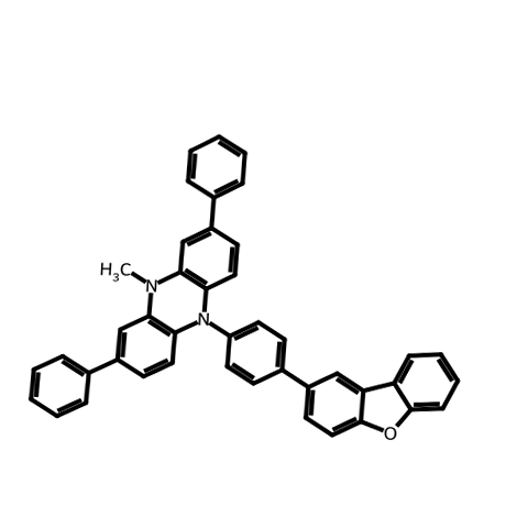 CN1c2cc(-c3ccccc3)ccc2N(c2ccc(-c3ccc4oc5ccccc5c4c3)cc2)c2ccc(-c3ccccc3)cc21